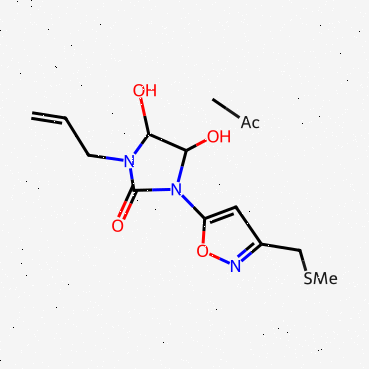 C=CCN1C(=O)N(c2cc(CSC)no2)C(O)C1O.CC(C)=O